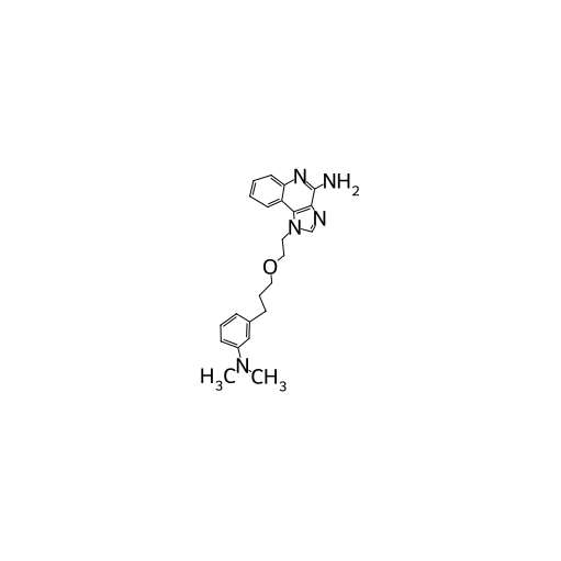 CN(C)c1cccc(CCCOCCn2cnc3c(N)nc4ccccc4c32)c1